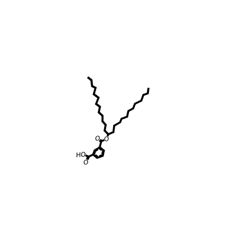 CCCCCCCCCCCCCC(CCCCCCCCCCCC)OC(=O)c1cccc(C(=O)O)c1